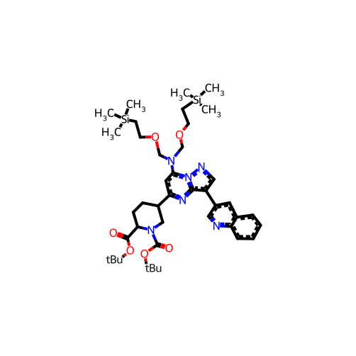 CC(C)(C)OC(=O)C1CCC(c2cc(N(COCC[Si](C)(C)C)COCC[Si](C)(C)C)n3ncc(-c4cnc5ccccc5c4)c3n2)CN1C(=O)OC(C)(C)C